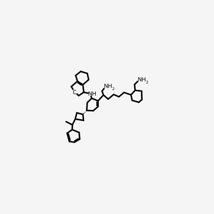 CC(C1C=CC=CC1)C1CC([C@H]2CC=C(C(CN)CCCCC3CCCCC3CN)C(NC3CCCC4=C3CCCC4)C2)C1